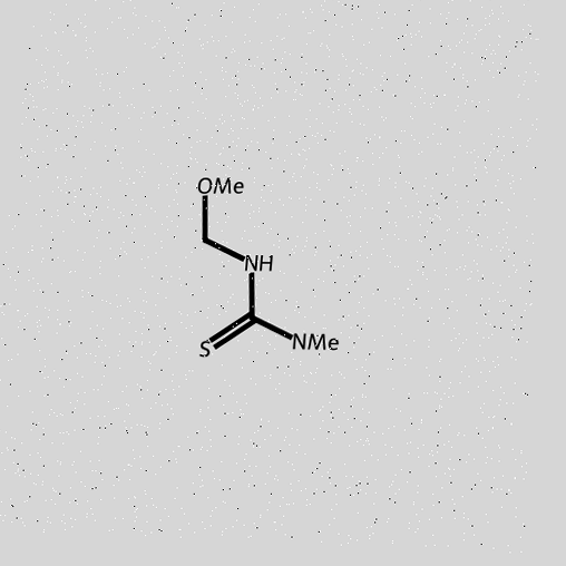 CNC(=S)NCOC